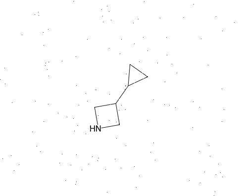 C1C[C]1C1CNC1